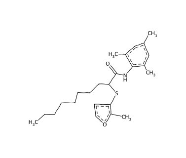 CCCCCCCCC(Sc1ccoc1C)C(=O)Nc1c(C)cc(C)cc1C